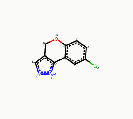 Clc1ccc2c(c1)-c1[nH]ncc1CO2